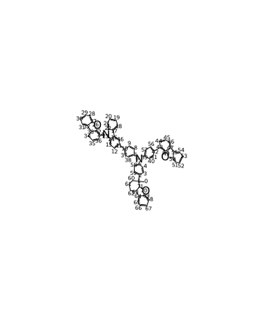 CC1(c2ccc(N(c3ccc(-c4ccc5c(c4)c4ccccc4n5C4=C5Oc6ccccc6C5CC=C4)cc3)c3ccc(-c4cccc5c4oc4ccccc45)cc3)cc2)CCCC2c3ccccc3OC21